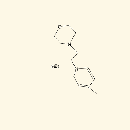 Br.CC1=CCN(CCN2CCOCC2)C=C1